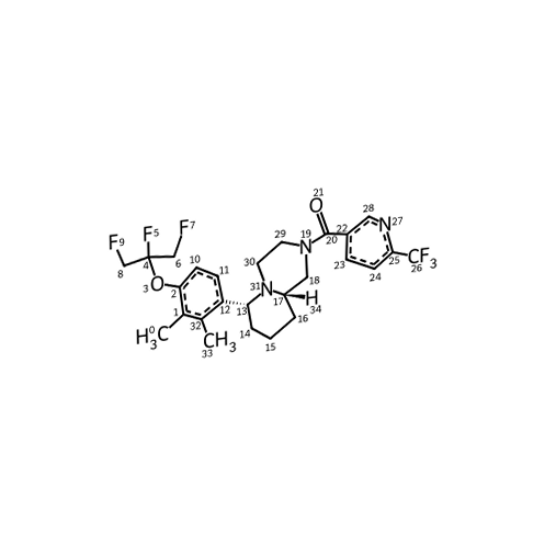 Cc1c(OC(F)(CF)CF)ccc([C@H]2CCC[C@H]3CN(C(=O)c4ccc(C(F)(F)F)nc4)CCN32)c1C